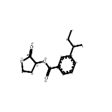 CCC(C)c1cccc(C(=O)OC2CCOC2=O)c1